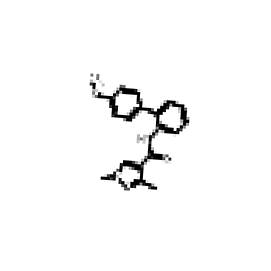 Cc1nn(C)cc1C(=O)Nc1ccccc1-c1ccc(SC(F)(F)F)cc1